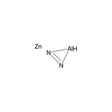 [N]1=[N][AlH]1.[Zn]